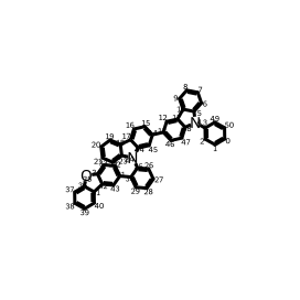 c1ccc(-n2c3ccccc3c3cc(-c4ccc5c6ccccc6n(-c6ccccc6-c6ccc7oc8ccccc8c7c6)c5c4)ccc32)cc1